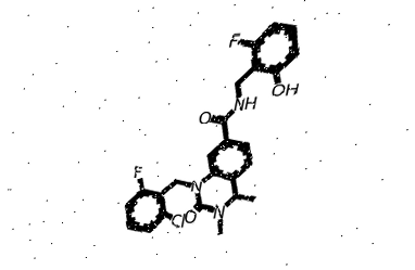 CC1c2ccc(C(=O)NCc3c(O)cccc3F)cc2N(Cc2c(F)cccc2Cl)C(=O)N1C